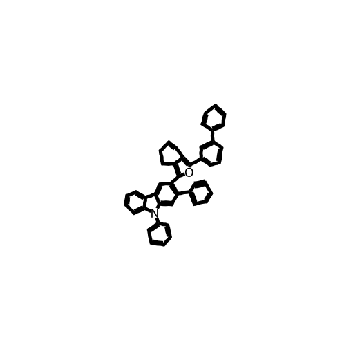 c1cccc(-c2cc3c(cc2-c2oc(-c4cccc(-c5ccccc5)c4)c4c2CCC=C4)c2ccccc2n3-c2ccccc2)c#1